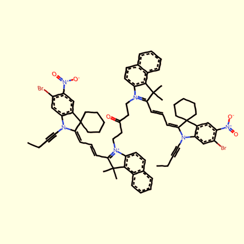 CCC#CN1/C(=C/C=C/C2=[N+](CCC(=O)CC[N+]3=C(/C=C/C=C4/N(C#CCC)c5cc(Br)c([N+](=O)[O-])cc5C45CCCCC5)C(C)(C)c4c3ccc3ccccc43)c3ccc4ccccc4c3C2(C)C)C2(CCCCC2)c2cc([N+](=O)[O-])c(Br)cc21